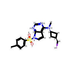 Cc1ccc(S(=O)(=O)n2ccc3c(N(C)[C@H]4C[C@H](CI)C4)ncnc32)cc1